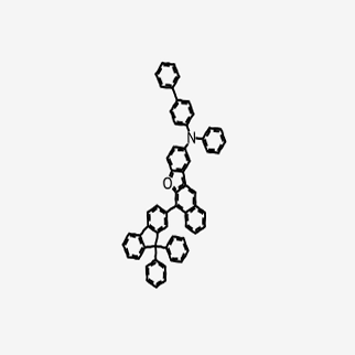 c1ccc(-c2ccc(N(c3ccccc3)c3ccc4oc5c(-c6ccc7c(c6)C(c6ccccc6)(c6ccccc6)c6ccccc6-7)c6ccccc6cc5c4c3)cc2)cc1